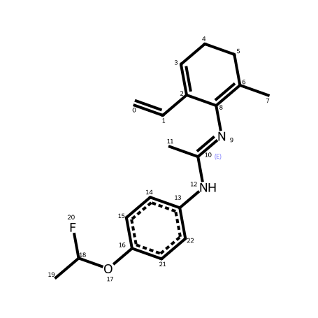 C=CC1=CCCC(C)=C1/N=C(\C)Nc1ccc(OC(C)F)cc1